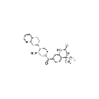 CC1(C)OC(=O)Nc2cc(C(=O)N3CC[C@@H](N4CCc5ccccc5C4)[C@H](O)C3)ccc21